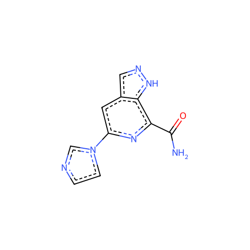 NC(=O)c1nc(-n2ccnc2)cc2cn[nH]c12